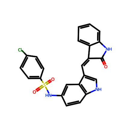 O=C1Nc2ccccc2C1=Cc1c[nH]c2ccc(NS(=O)(=O)c3ccc(Cl)cc3)cc12